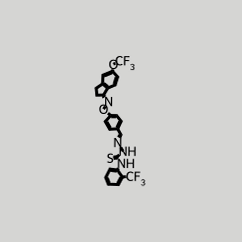 FC(F)(F)Oc1ccc2c(c1)CC/C2=N\Oc1ccc(/C=N/NC(=S)Nc2ccccc2C(F)(F)F)cc1